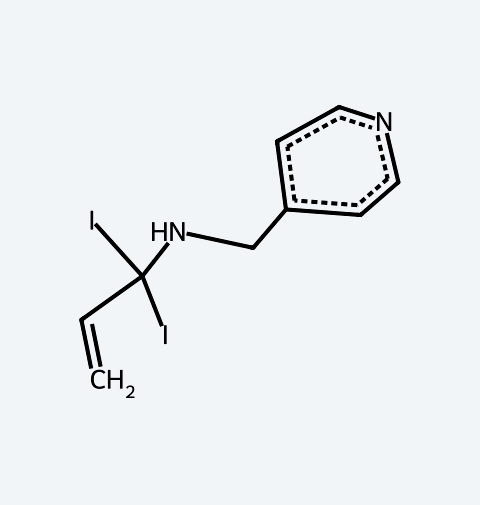 C=CC(I)(I)NCc1ccncc1